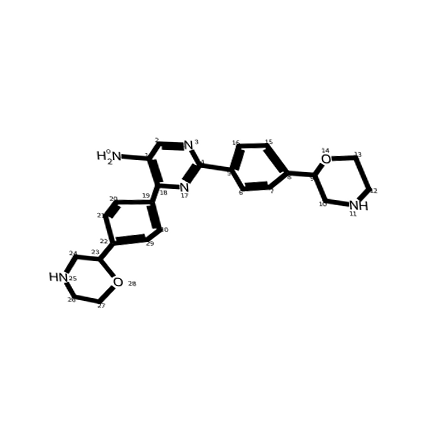 Nc1cnc(-c2ccc(C3CNCCO3)cc2)nc1-c1ccc(C2CNCCO2)cc1